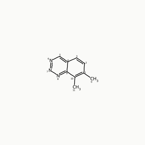 Cc1ccc2cnnnc2c1C